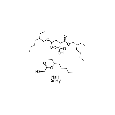 CCCCC(CC)COC(=O)CC(C(=O)OCC(CC)CCCC)S(=O)(=O)O.CCCCCC(CC)OC(=O)CS.[NaH].[SnH2]